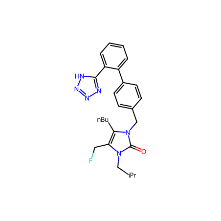 CCCCc1c(CF)n(CC(C)C)c(=O)n1Cc1ccc(-c2ccccc2-c2nnn[nH]2)cc1